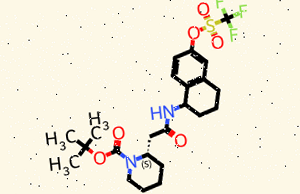 CC(C)(C)OC(=O)N1CCCC[C@H]1CC(=O)NC1CCCc2cc(OS(=O)(=O)C(F)(F)F)ccc21